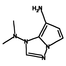 CN(C)n1cnn2ccc(N)c12